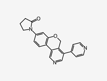 O=C1CCCN1c1ccc2c(c1)OCc1c(-c3ccncc3)cncc1-2